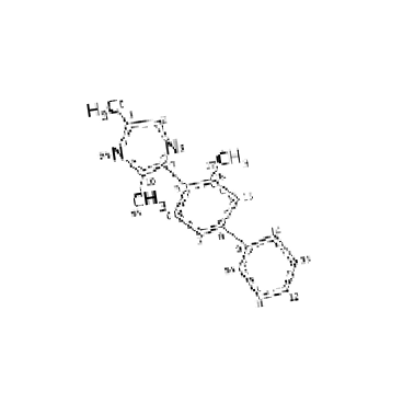 Cc1cnc(-c2ccc(-c3ccccc3)cc2C)c(C)n1